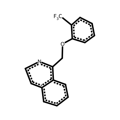 FC(F)(F)c1ccccc1OCc1nccc2ccccc12